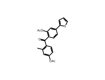 CC(=O)Oc1[c]c(C)c(C(=O)c2ccc(-c3cccs3)cc2OC(C)=O)cc1